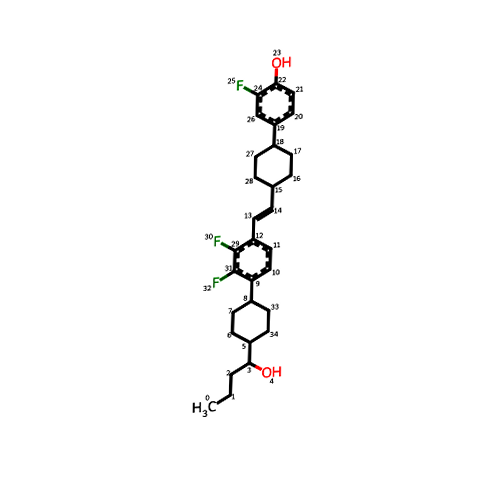 CCCC(O)C1CCC(c2ccc(/C=C/C3CCC(c4ccc(O)c(F)c4)CC3)c(F)c2F)CC1